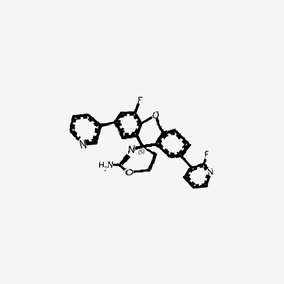 NC1=N[C@@]2(CCO1)c1cc(-c3cccnc3F)ccc1Oc1c(F)cc(-c3cccnc3)cc12